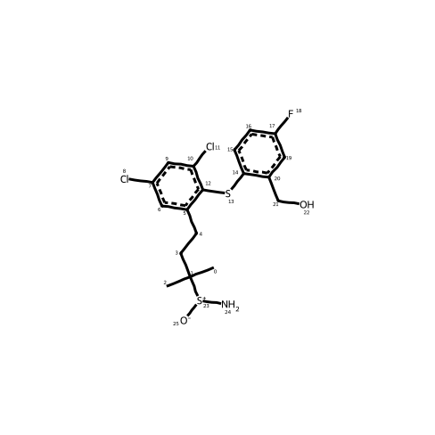 CC(C)(CCc1cc(Cl)cc(Cl)c1Sc1ccc(F)cc1CO)[S+](N)[O-]